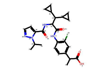 CC(C(=O)O)c1ccc(NC(=O)C(NC(=O)c2ccnn2C(C)C)C(C2CC2)C2CC2)c(F)c1